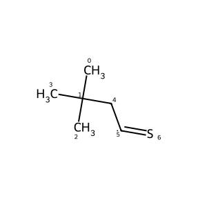 CC(C)(C)C[C]=S